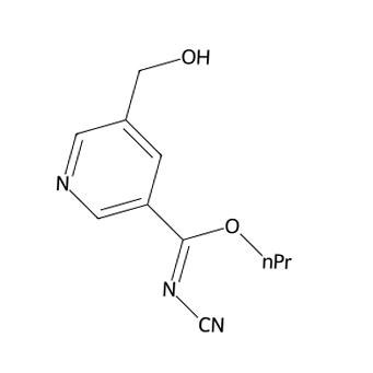 CCCOC(=NC#N)c1cncc(CO)c1